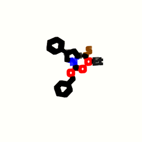 CCOC(=S)[C@H]1C[C@H](c2ccccc2)CN1C(=O)OCc1ccccc1